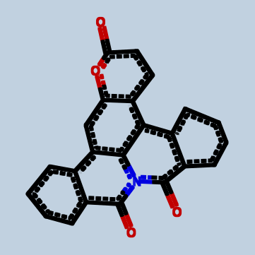 O=c1ccc2c(cc3c4ccccc4c(=O)n4c(=O)c5ccccc5c2c34)o1